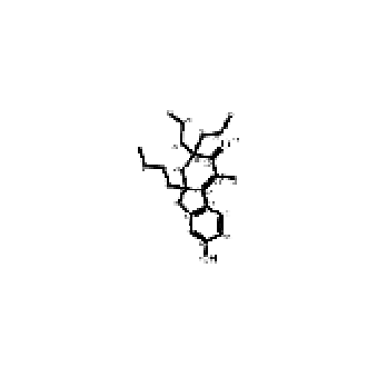 CCCCC12Cc3cc(O)ccc3C1=C(C)C(=O)C(CCC)(CCC)C2